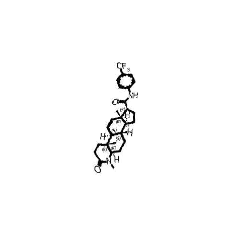 CN1C(=O)CC[C@]2(C)[C@H]3C=C[C@]4(C)[C@@H](C(=O)Nc5ccc(C(F)(F)F)cc5)CC[C@H]4[C@@H]3CC[C@@H]12